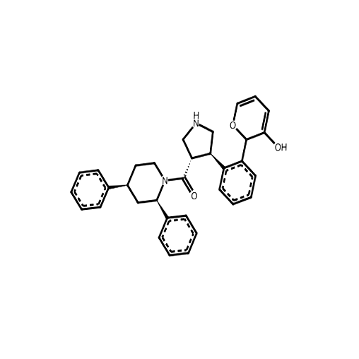 O=C([C@@H]1CNC[C@H]1c1ccccc1C1OC=CC=C1O)N1CC[C@H](c2ccccc2)C[C@@H]1c1ccccc1